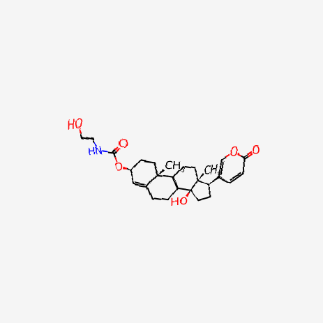 C[C@]12CC[C@H](OC(=O)NCCO)C=C1CCC1C2CC[C@]2(C)[C@@H](c3ccc(=O)oc3)CC[C@]12O